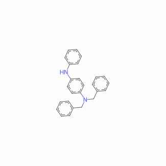 c1ccc(CN(Cc2ccccc2)c2ccc(Nc3ccccc3)cc2)cc1